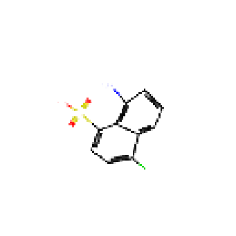 Nc1cccc2c(Cl)ccc(S(=O)(=O)O)c12